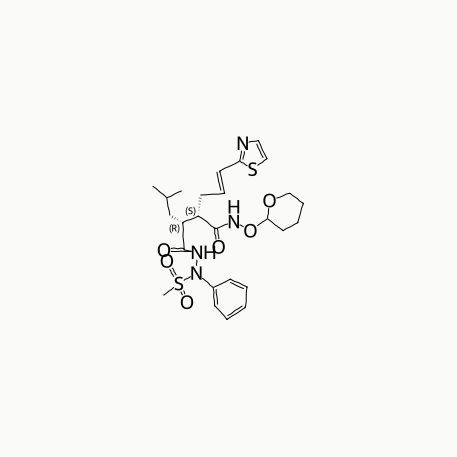 CC(C)C[C@@H](C(=O)NN(c1ccccc1)S(C)(=O)=O)[C@H](CC=Cc1nccs1)C(=O)NOC1CCCCO1